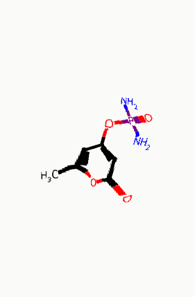 Cc1cc(OP(N)(N)=O)cc(=O)o1